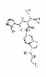 CC(C)n1nccc1C(=O)N[C@H](C(=O)Nc1ccc2c(c1)CC[C@@H]2C(=O)NCC(F)(F)F)C(C1CC1)C1CC1